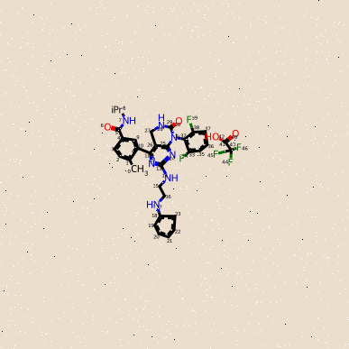 Cc1ccc(C(=O)NC(C)C)cc1-c1nc(NCCNc2ccccc2)nc2c1CNC(=O)N2c1c(F)cccc1F.O=C(O)C(F)(F)F